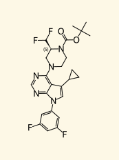 CC(C)(C)OC(=O)N1CCN(c2ncnc3c2c(C2CC2)cn3-c2cc(F)cc(F)c2)C[C@H]1C(F)F